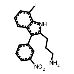 NCCCc1[nH]c2c(I)cccc2c1-c1cccc([N+](=O)[O-])c1